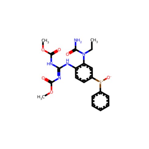 CCN(C(N)=O)c1cc([S+]([O-])c2ccccc2)ccc1NC(=NC(=O)OC)NC(=O)OC